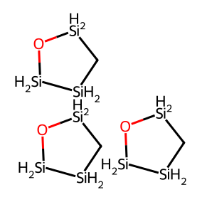 C1[SiH2]O[SiH2][SiH2]1.C1[SiH2]O[SiH2][SiH2]1.C1[SiH2]O[SiH2][SiH2]1